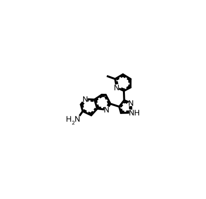 Cc1cccc(-c2n[nH]cc2-c2ccc3ncc(N)cc3n2)n1